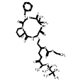 CCOC(=S)SC(CCC(=O)C(C)O[Si](C)(C)C(C)(C)C)CC[C@@H]1NC(=O)[C@H]2CCCN2C(=O)[C@H](Cc2ccccc2)NC(=O)C(C)(C)NC1=O